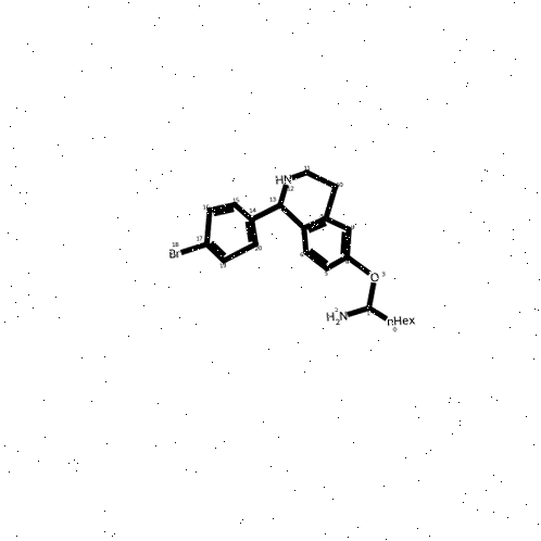 CCCCCCC(N)Oc1ccc2c(c1)CCNC2c1ccc(Br)cc1